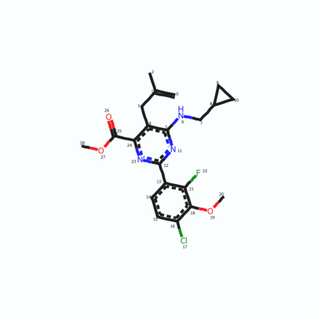 C=C(C)Cc1c(NCC2CC2)nc(-c2ccc(Cl)c(OC)c2F)nc1C(=O)OC